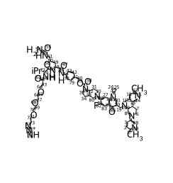 Cc1ccc(N2CCC[C@H](N(Cc3ccnc(C)c3)Cc3cn(C4CC4)c4cc(N5CCC6C(CCN6C(=O)OCc6ccc(NC(=O)[C@H](CCCNC(N)=O)NC(=O)[C@@H](NC(=O)CCOCCOCCOCCN=[N+]=N)C(C)C)cc6)C5)c(F)cc4c3=O)C2)cn1